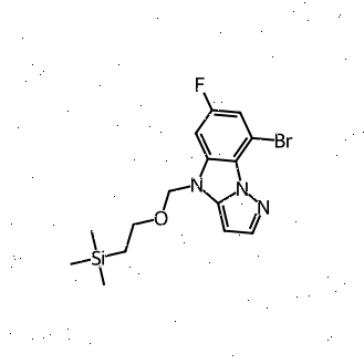 C[Si](C)(C)CCOCn1c2cc(F)cc(Br)c2n2nccc12